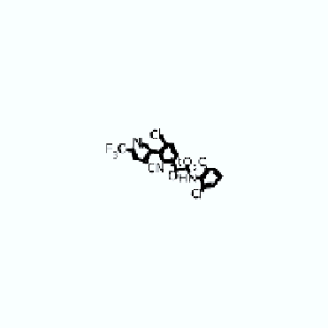 CCOC(=O)c1cccc(Cl)c1NCC(=O)c1ccc(Cl)c(-c2cnc(C(F)(F)F)cc2C#N)c1